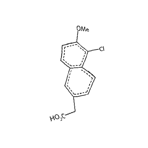 COc1ccc2cc(CC(=O)O)ccc2c1Cl